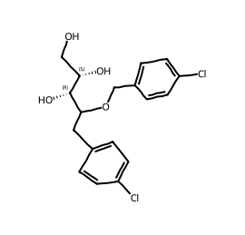 OC[C@H](O)[C@@H](O)C(Cc1ccc(Cl)cc1)OCc1ccc(Cl)cc1